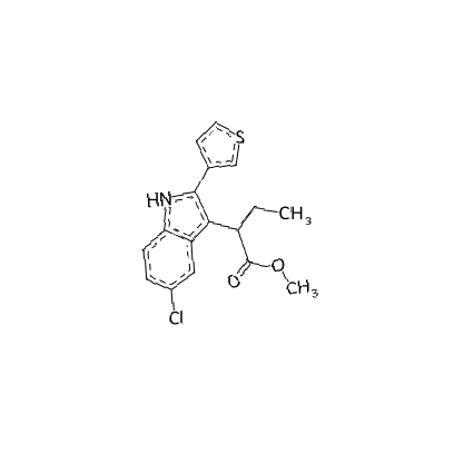 CCC(C(=O)OC)c1c(-c2ccsc2)[nH]c2ccc(Cl)cc12